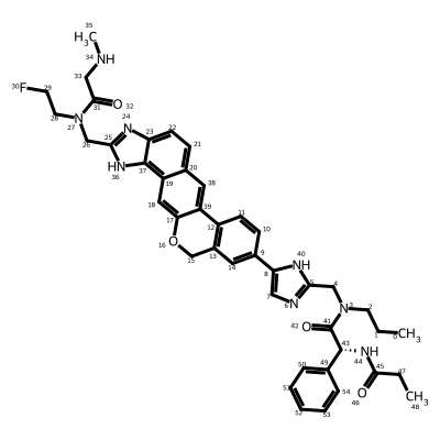 CCCN(Cc1ncc(-c2ccc3c(c2)COc2cc4c(ccc5nc(CN(CCF)C(=O)CNC)[nH]c54)cc2-3)[nH]1)C(=O)[C@H](NC(=O)CC)c1ccccc1